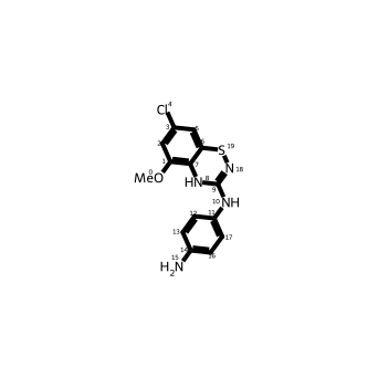 COc1cc(Cl)cc2c1NC(Nc1ccc(N)cc1)=NS2